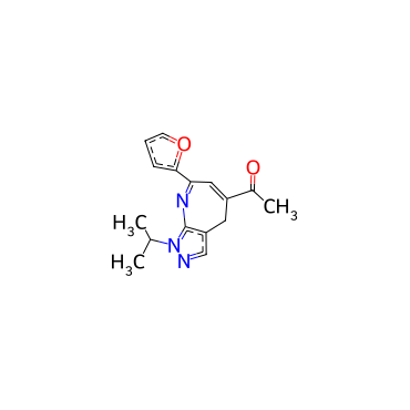 CC(=O)C1=CC(c2ccco2)=Nc2c(cnn2C(C)C)C1